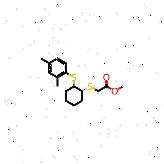 COC(=O)CS[C@@H]1CCCC[C@H]1Sc1ccc(C)cc1C